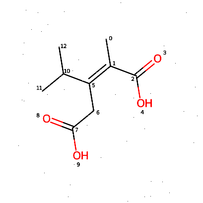 CC(C(=O)O)=C(CC(=O)O)C(C)C